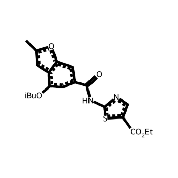 CCOC(=O)c1cnc(NC(=O)c2cc(OCC(C)C)c3cc(C)oc3c2)s1